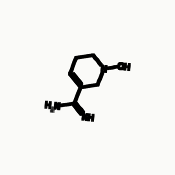 N=C(N)C1=CCCN(O)C1